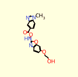 Cn1cnc2cc(C(=O)ONc3nc4ccc(OCCO)cc4o3)ccc21